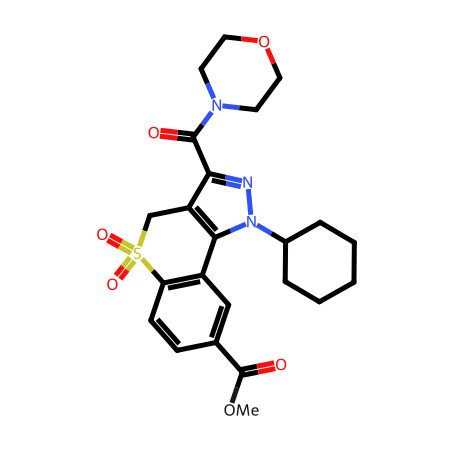 COC(=O)c1ccc2c(c1)-c1c(c(C(=O)N3CCOCC3)nn1C1CCCCC1)CS2(=O)=O